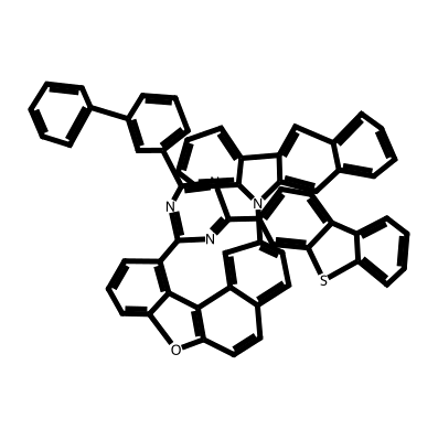 c1ccc(-c2cccc(-c3nc(-c4ccc5c(c4)sc4ccccc45)nc(-c4cccc5oc6ccc7ccc(-n8c9ccccc9c9cc%10ccccc%10cc98)cc7c6c45)n3)c2)cc1